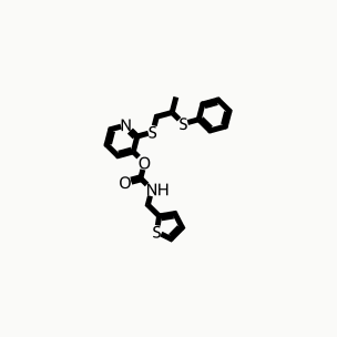 CC(CSc1ncccc1OC(=O)NCc1cccs1)Sc1ccccc1